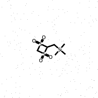 C[Si](C)(C)CC1S(=O)(=O)CS1(=O)=O